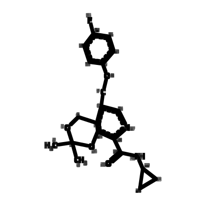 CC1(C)OCc2c(COc3ccc(F)cc3)cnc(C(=O)NC3CC3)c2O1